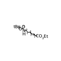 CCOC(=O)/C=C/C=C/CCNC(=O)OC(C)(C)C